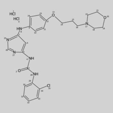 Cl.Cl.O=C(Nc1cc(Nc2ccc(OCCCN3CCOCC3)cc2)ncn1)Nc1ccccc1Cl